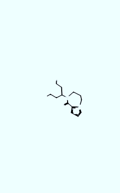 CCCC(CCC)N1CCCn2cccc2C1=O